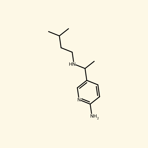 CC(C)CCNC(C)c1ccc(N)nc1